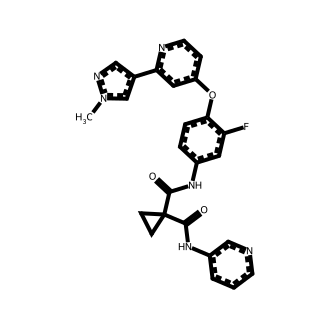 Cn1cc(-c2cc(Oc3ccc(NC(=O)C4(C(=O)Nc5cccnc5)CC4)cc3F)ccn2)cn1